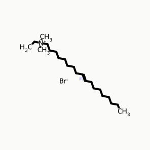 CCCCCCCC/C=C/CCCCCCCC[N+](C)(C)CC.[Br-]